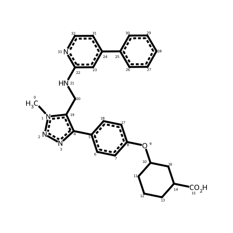 Cn1nnc(-c2ccc(OC3CCCC(C(=O)O)C3)cc2)c1CNc1cc(-c2ccccc2)ccn1